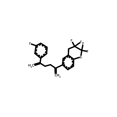 C=C(CCC(=C)c1ccc2c(c1)CC(F)(F)C(F)(F)S2)c1cccc(F)c1